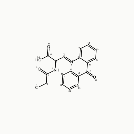 O=C(CCl)NC(N=Nc1ccccc1C(=O)c1ccccn1)C(=O)O